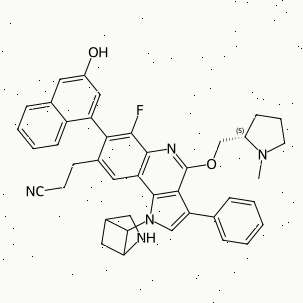 CN1CCC[C@H]1COc1nc2c(F)c(-c3cc(O)cc4ccccc34)c(CCC#N)cc2c2c1c(-c1ccccc1)cn2C1C2CNC1C2